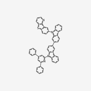 c1ccc(-c2cc(-c3ccccc3)nc(-n3c4ccccc4c4cc(-c5ccc6c7ccccc7n(-c7ccc8sc9cccnc9c8c7)c6c5)ccc43)c2)cc1